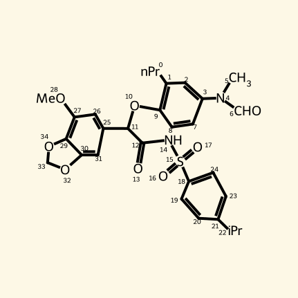 CCCc1cc(N(C)C=O)ccc1OC(C(=O)NS(=O)(=O)c1ccc(C(C)C)cc1)c1cc(OC)c2c(c1)OCO2